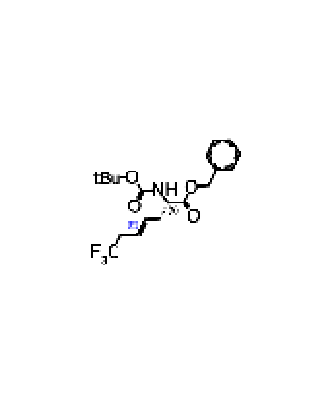 CC(C)(C)OC(=O)N[C@@H](C/C=C/CC(F)(F)F)C(=O)OCc1ccccc1